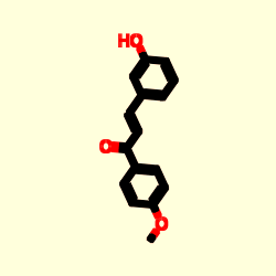 COc1ccc(C(=O)C=Cc2cccc(O)c2)cc1